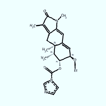 CCO[C@@H]1C=C2C=C3C(=C(C)C(=O)N3C)C[C@]2(C)[C@@H](C)[C@H]1OC(=O)n1ccnc1